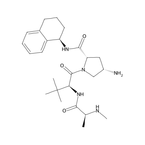 CN[C@@H](C)C(=O)N[C@H](C(=O)N1C[C@@H](N)C[C@H]1C(=O)N[C@@H]1CCCc2ccccc21)C(C)(C)C